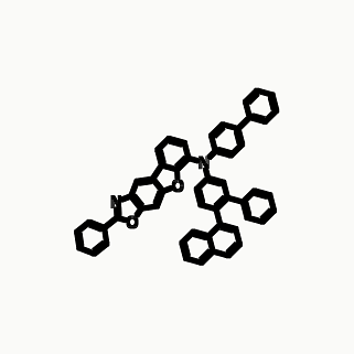 c1ccc(-c2ccc(N(c3ccc(-c4cccc5ccccc45)c(-c4ccccc4)c3)c3cccc4c3oc3cc5oc(-c6ccccc6)nc5cc34)cc2)cc1